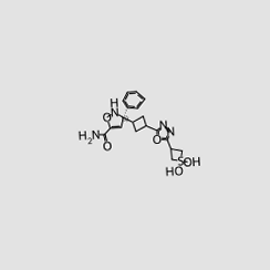 NC(=O)C1=C[C@](c2ccccc2)(C2CC(c3nnc(C4CS(O)(O)C4)o3)C2)NO1